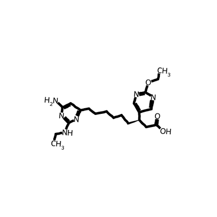 CCNc1nc(N)cc(CCCCCC[C@H](CC(=O)O)c2cnc(OCC)nc2)n1